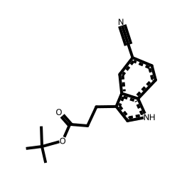 CC(C)(C)OC(=O)CCc1c[nH]c2ccc(C#N)cc12